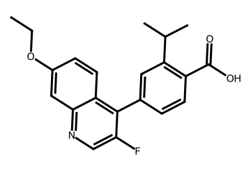 CCOc1ccc2c(-c3ccc(C(=O)O)c(C(C)C)c3)c(F)cnc2c1